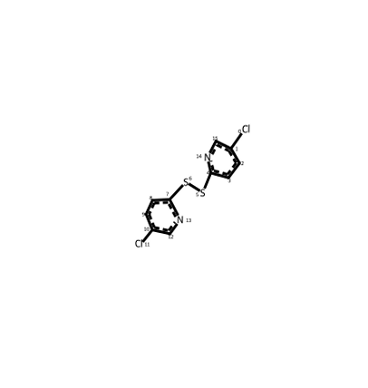 Clc1ccc(SSc2ccc(Cl)cn2)nc1